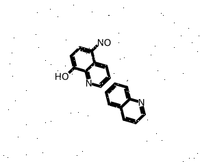 O=Nc1ccc(O)c2ncccc12.c1ccc2ncccc2c1